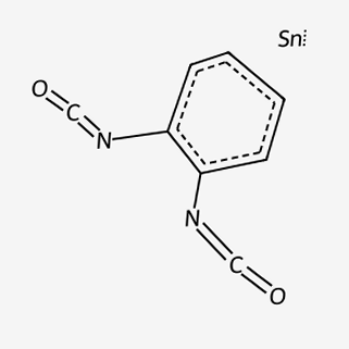 O=C=Nc1ccccc1N=C=O.[Sn]